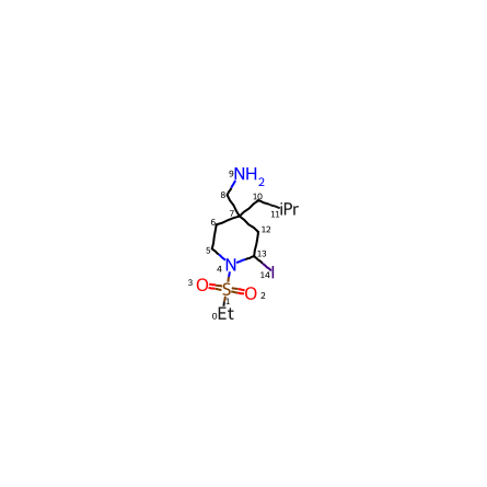 CCS(=O)(=O)N1CCC(CN)(CC(C)C)CC1I